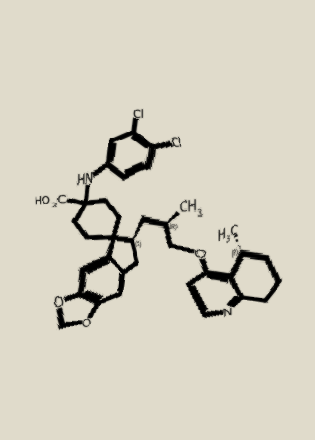 C[C@@H](COc1ccnc2c1[C@H](C)CCC2)C[C@H]1Cc2cc3c(cc2C12CCC(Nc1ccc(Cl)c(Cl)c1)(C(=O)O)CC2)OCO3